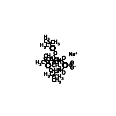 CCC(C)(C)c1ccc(OCC(CNC(=O)c2cc(C(=O)NCC(COc3ccc(C(C)(C)CC)cc3)C(C)(C)CC)cc(S(=O)[O-])c2)C(C)(C)CC)cc1.[Na+]